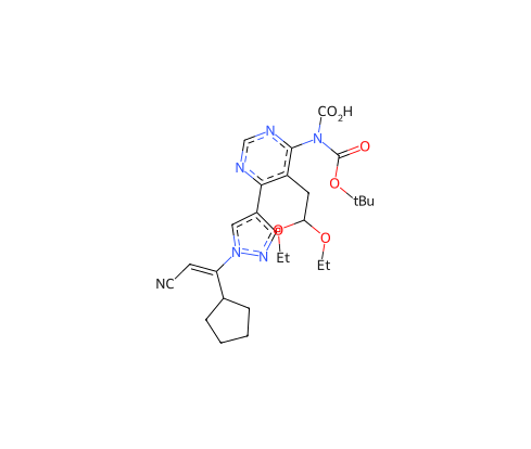 CCOC(Cc1c(-c2cnn(C(=CC#N)C3CCCC3)c2)ncnc1N(C(=O)O)C(=O)OC(C)(C)C)OCC